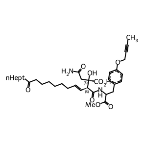 CC#CCOc1ccc(CC(NC(=O)[C@@H](C=CCCCCCCC(=O)CCCCCCC)[C@@](O)(CC(N)=O)C(=O)O)C(=O)OC)cc1